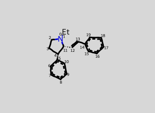 CCN1CC[C@H](c2ccccc2)[C@H]1C=Cc1ccccc1